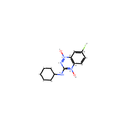 [O-][n+]1nc(NC2CCCCC2)[n+]([O-])c2ccc(F)cc21